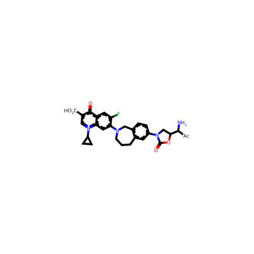 CC(=O)C(N)C1CN(c2ccc3c(c2)CCCN(c2cc4c(cc2F)c(=O)c(C(=O)O)cn4C2CC2)C3)C(=O)O1